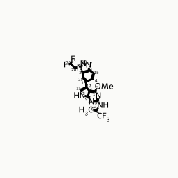 COc1nc(N[C@H](C)C(F)(F)F)nc2[nH]cc(-c3ccc4nnn(CC(F)F)c4c3)c12